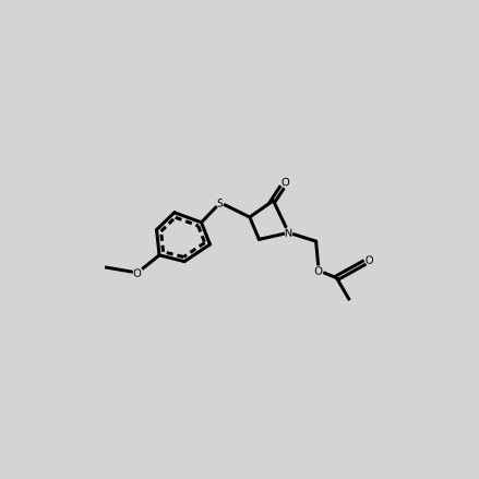 COc1ccc(SC2CN(COC(C)=O)C2=O)cc1